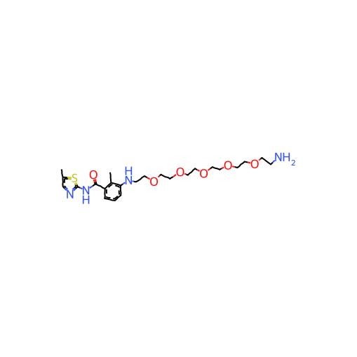 Cc1cnc(NC(=O)c2cccc(NCCOCCOCCOCCOCCOCCN)c2C)s1